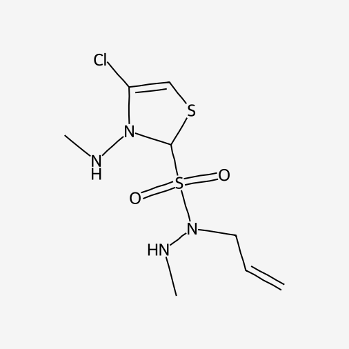 C=CCN(NC)S(=O)(=O)C1SC=C(Cl)N1NC